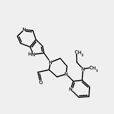 CCN(C)c1cccnc1N1CCN(c2cc3cnccc3[nH]2)C(C=O)C1